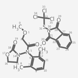 COCC(=O)N(c1c(C)cccc1C)N1CCOC1=O.O=C1c2ccccc2C(=O)N1SC(Cl)(Cl)Cl